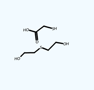 O=C(O)CS.OCCSCCO